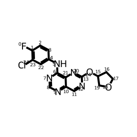 Fc1ccc(Nc2ncnc3cnc(OC4CCOC4)nc23)cc1Cl